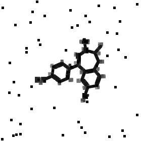 CC(=O)N1N=C(c2ccc(N)cc2)c2cc(Br)ccc2CC1C